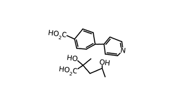 CC(O)CC(C)(O)C(=O)O.O=C(O)c1ccc(-c2ccncc2)cc1